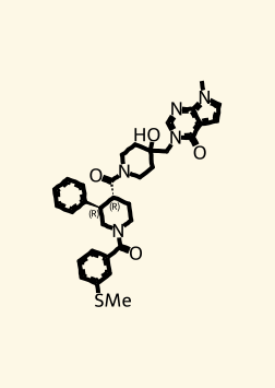 CSc1cccc(C(=O)N2CC[C@@H](C(=O)N3CCC(O)(Cn4cnc5c(ccn5C)c4=O)CC3)[C@H](c3ccccc3)C2)c1